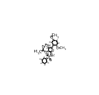 COc1ccc(OC)c(-c2oc(NS(=O)(=O)c3ccccc3)c(OC(C)=O)c2O)c1